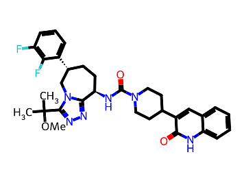 COC(C)(C)c1nnc2n1C[C@H](c1cccc(F)c1F)CC[C@H]2NC(=O)N1CCC(c2cc3ccccc3[nH]c2=O)CC1